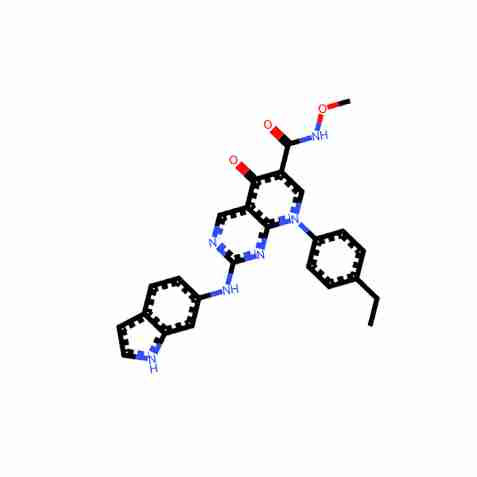 CCc1ccc(-n2cc(C(=O)NOC)c(=O)c3cnc(Nc4ccc5cc[nH]c5c4)nc32)cc1